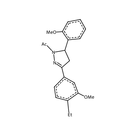 CCc1ccc(C2=NN(C(C)=O)C(c3ccccc3OC)C2)cc1OC